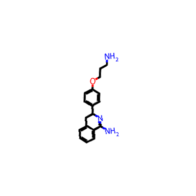 NCCCOc1ccc(C2Cc3ccccc3C(N)=N2)cc1